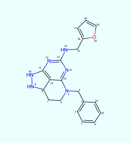 c1ccc(CN2CCC3NNc4nc(NCc5ccco5)nc2c43)cc1